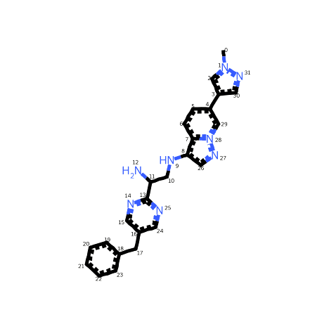 Cn1cc(-c2ccc3c(NCC(N)c4ncc(Cc5ccccc5)cn4)cnn3c2)cn1